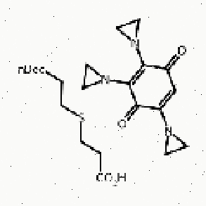 CCCCCCCCCCCCSCCC(=O)O.O=C1C=C(N2CC2)C(=O)C(N2CC2)=C1N1CC1